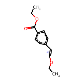 CCO/C=C/c1ccc(C(=O)OCC)cc1